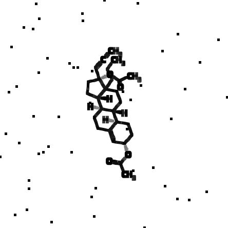 C=C=C[C@]1(OC(C)=O)CC[C@H]2[C@@H]3CCC4=C[C@@H](OC(C)=O)CC[C@@H]4[C@H]3CCC21CCC